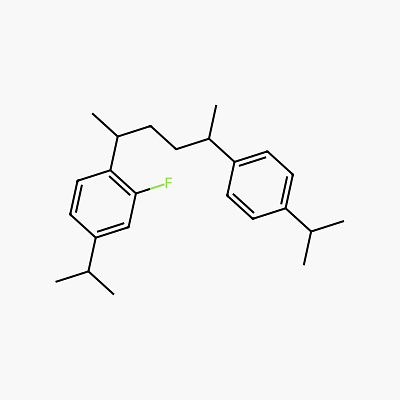 CC(C)c1ccc(C(C)CCC(C)c2ccc(C(C)C)cc2F)cc1